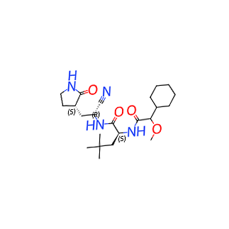 COC(C(=O)N[C@@H](CC(C)(C)C)C(=O)N[C@@H](C#N)C[C@@H]1CCNC1=O)C1CCCCC1